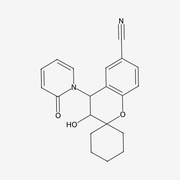 N#Cc1ccc2c(c1)C(n1ccccc1=O)C(O)C1(CCCCC1)O2